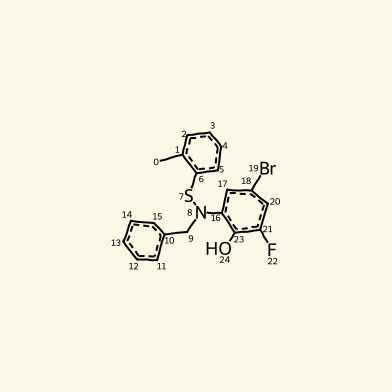 Cc1ccccc1SN(Cc1ccccc1)c1cc(Br)cc(F)c1O